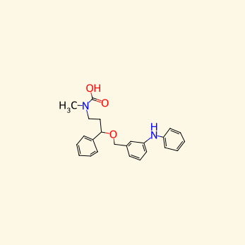 CN(CCC(OCc1cccc(Nc2ccccc2)c1)c1ccccc1)C(=O)O